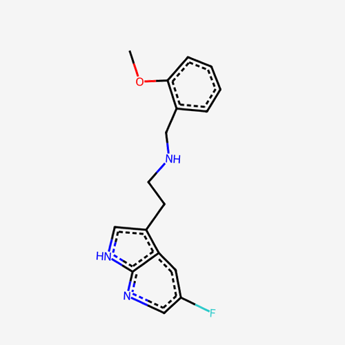 COc1ccccc1CNCCc1c[nH]c2ncc(F)cc12